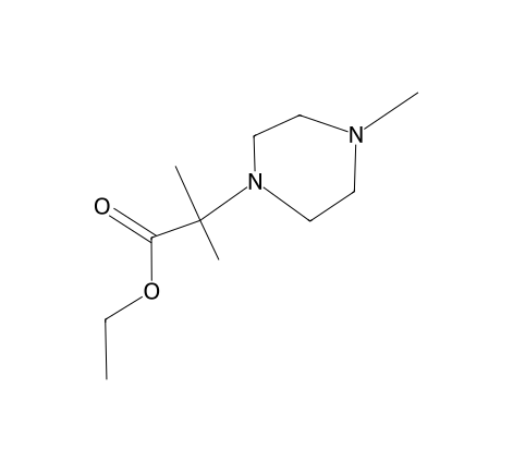 CCOC(=O)C(C)(C)N1CCN(C)CC1